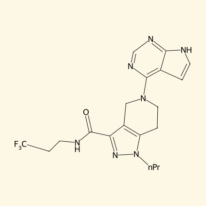 CCCn1nc(C(=O)NCCC(F)(F)F)c2c1CCN(c1ncnc3[nH]ccc13)C2